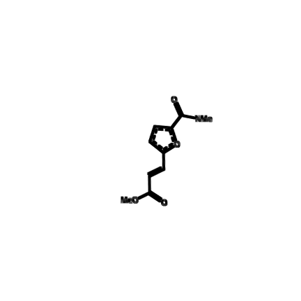 CNC(=O)c1ccc(/C=C/C(=O)OC)o1